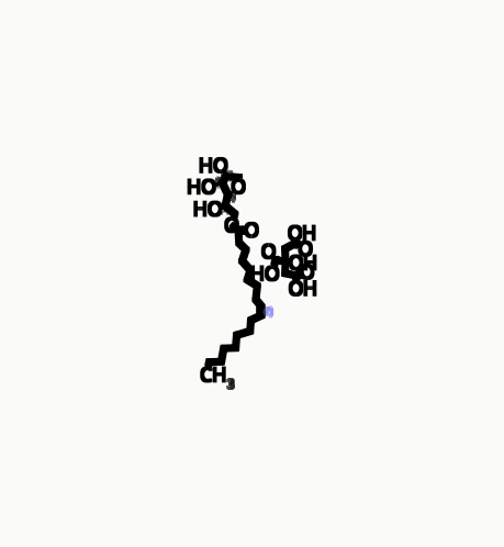 CCCCCCCC/C=C\CCCCCCCC(=O)OC[C@@H](O)[C@H]1OC[C@H](O)[C@H]1O.O=C(O)CC(O)(CC(=O)O)C(=O)O